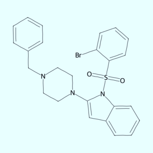 O=S(=O)(c1ccccc1Br)n1c(N2CCN(Cc3ccccc3)CC2)cc2ccccc21